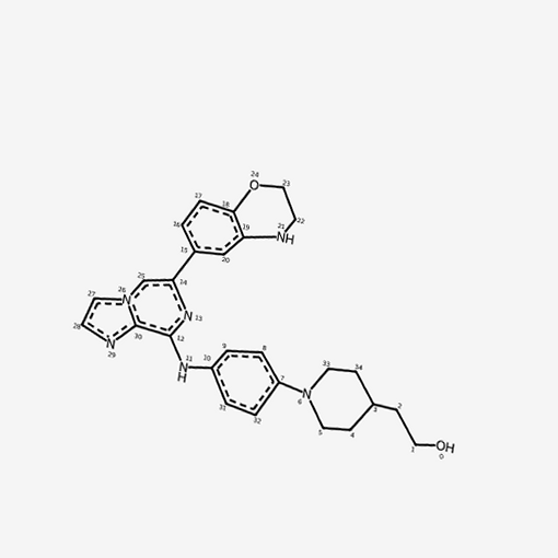 OCCC1CCN(c2ccc(Nc3nc(-c4ccc5c(c4)NCCO5)cn4ccnc34)cc2)CC1